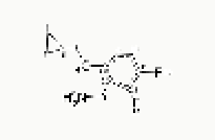 NCc1c(OCC2CC2)ccc(F)c1F